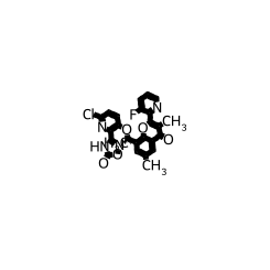 Cc1cc([C@@H](C)Oc2ccc(Cl)nc2-c2noc(=O)[nH]2)c2oc(-c3ncccc3F)c(C)c(=O)c2c1